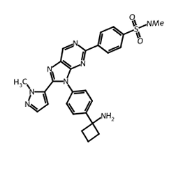 CNS(=O)(=O)c1ccc(-c2ncc3nc(-c4ccnn4C)n(-c4ccc(C5(N)CCC5)cc4)c3n2)cc1